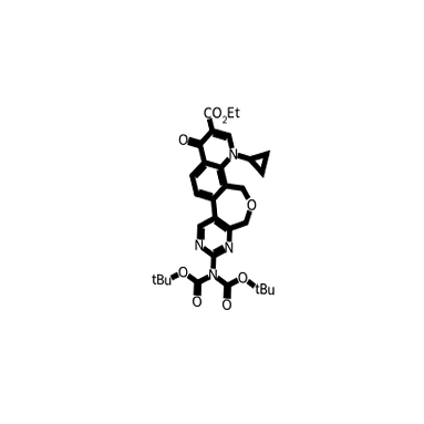 CCOC(=O)c1cn(C2CC2)c2c3c(ccc2c1=O)-c1cnc(N(C(=O)OC(C)(C)C)C(=O)OC(C)(C)C)nc1COC3